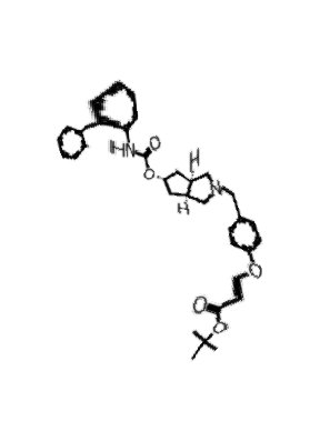 CC(C)(C)OC(=O)/C=C/Oc1ccc(CN2C[C@H]3C[C@H](OC(=O)Nc4ccccc4-c4ccccc4)C[C@H]3C2)cc1